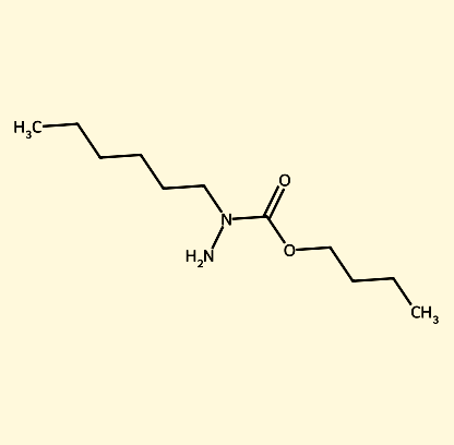 CCCCCCN(N)C(=O)OCCCC